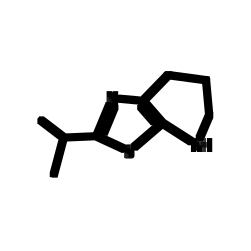 CC(C)c1nc2c(s1)NCCC2